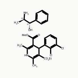 CCOC(=O)C1=C(C)NC(C)=C(C(=O)OC)C1c1cccc(Cl)c1Cl.C[C@@H](N)[C@@H](O)c1ccccc1